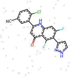 N#Cc1ccc(Cl)c(-c2cc(=O)c3c(F)c(-c4cc[nH]n4)c(F)cc3[nH]2)c1